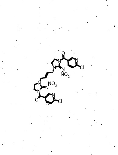 O=C(c1ccc(Cl)nc1)N1CCN(CC=CCN2CCN(C(=O)c3ccc(Cl)nc3)C2=N[N+](=O)[O-])C1=N[N+](=O)[O-]